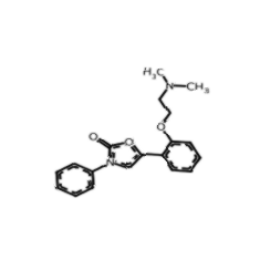 CN(C)CCOc1ccccc1-c1cn(-c2ccccc2)c(=O)o1